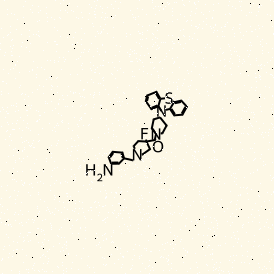 Nc1cccc(CN2CCC(F)(C(=O)N3CCC(N4c5ccccc5Sc5ccccc54)CC3)CC2)c1